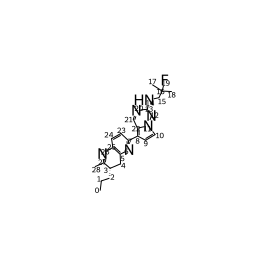 CCC[C@H]1Cc2nc(-c3ccn4nc(NCC(C)(C)F)ncc34)ccc2N=C1C